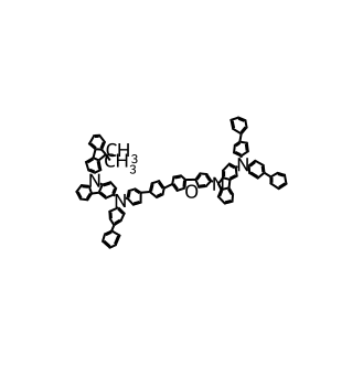 CC1(C)c2ccccc2-c2ccc(-n3c4ccccc4c4cc(N(c5ccc(-c6ccccc6)cc5)c5ccc(-c6ccc(-c7ccc8c(c7)oc7cc(-n9c%10ccccc%10c%10cc(N(c%11ccc(-c%12ccccc%12)cc%11)c%11ccc(-c%12ccccc%12)cc%11)ccc%109)ccc78)cc6)cc5)ccc43)cc21